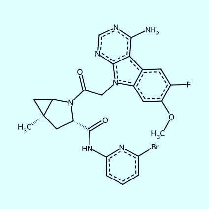 COc1cc2c(cc1F)c1c(N)ncnc1n2CC(=O)N1C2C[C@]2(C)C[C@H]1C(=O)Nc1cccc(Br)n1